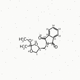 COC1(C)OC[C@H](CN2C(=O)c3ccccc3C2=O)O1